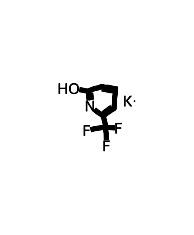 Oc1cccc(C(F)(F)F)n1.[K]